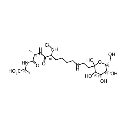 C[C@H](NC(=O)[C@H](C)NC(=O)[C@H](CCCCNCCC1(O)O[C@H](CO)[C@H](O)[C@H](O)[C@H]1O)NCl)C(=O)O